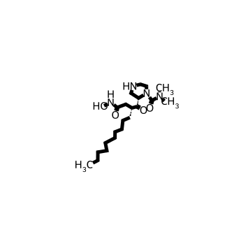 CCCCCCCCCC[C@H](CC(=O)NO)C(=O)[C@@H]1CNCCN1C(=O)N(C)C